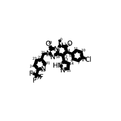 Cn1c(=O)c(-c2ccc(Cl)cc2)c(-c2ccn[nH]2)c2nn(Cc3ccc(C(F)(F)F)nc3)c(=O)n21